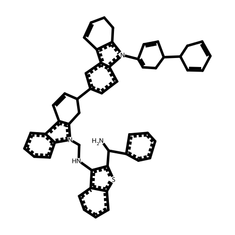 NC(c1ccccc1)c1sc2ccccc2c1NCn1c2c(c3ccccc31)C=CC(c1ccc3c(c1)c1c(n3C3=CCC(C4C=CC=CC4)C=C3)CCC=C1)C2